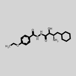 CCOc1ccc(C(=O)NNC(=O)C(O)[C@H](N)CC2CCCCC2)cc1